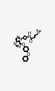 CN(C)C/C=C/C(=O)NC1CC(n2ncc3ncnc(Oc4ccc(Oc5ccccc5)cc4)c32)C1